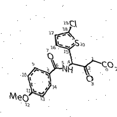 CCOC(=O)CC(=O)C(NC(=O)c1ccc(OC)cc1)c1ccc(Cl)s1